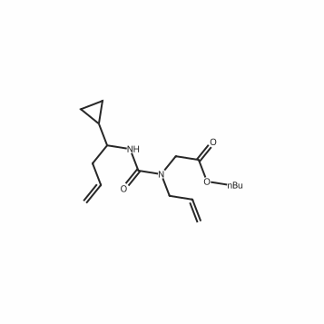 C=CCC(NC(=O)N(CC=C)CC(=O)OCCCC)C1CC1